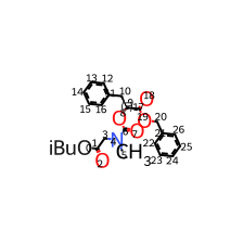 CC(C)COC(=O)CN(C)C(=O)O[C@@H](Cc1ccccc1)C(=O)OCc1ccccc1